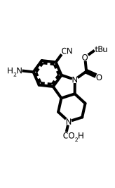 CC(C)(C)OC(=O)N1c2c(C#N)cc(N)cc2C2CN(C(=O)O)CCC21